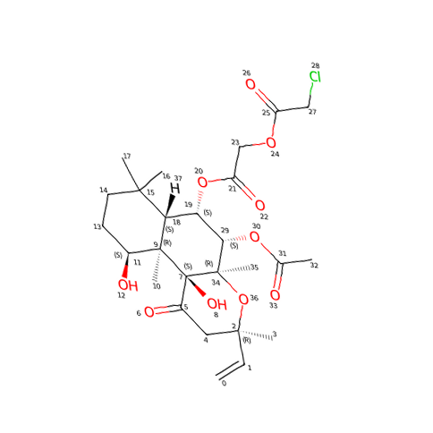 C=C[C@@]1(C)CC(=O)[C@]2(O)[C@@]3(C)[C@@H](O)CCC(C)(C)[C@@H]3[C@H](OC(=O)COC(=O)CCl)[C@H](OC(C)=O)[C@@]2(C)O1